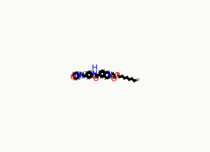 CCCCCCCCOC(=O)CN1CCc2cc(C(=O)Nc3ccc(C=NN4CCOCC4)cc3)ccc2C1